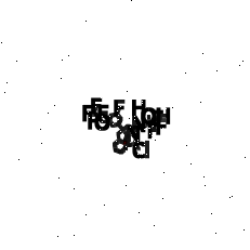 OC(CNCCC(Cc1ccccc1)(c1cc(F)cc(OC(F)(F)C(F)F)c1)c1ccc(Cl)cn1)C(F)(F)F